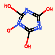 [O-][n+]1c(O)nc(O)nc1O